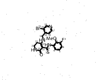 COc1c(F)cccc1NC(=S)C1=C(NCc2ccncc2Br)CCNC1=O